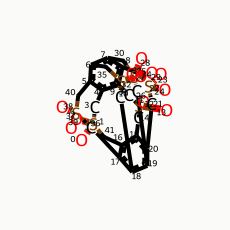 O=S1(=O)Cc2c3c4c5c6c2CS(=O)(=O)Cc2c(c(c(c(c2CS(=O)(=O)C6)CS(=O)(=O)C5)CS(=O)(=O)C4)CS(=O)(=O)C3)C1